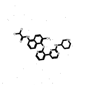 Cc1ccc2c(NC(=O)C(Cl)Cl)cccc2c1Oc1ncccc1-c1ccnc(NC2CCCNC2)n1